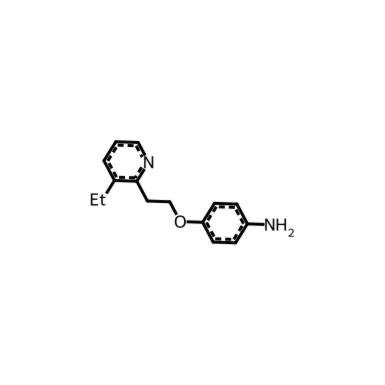 CCc1cccnc1CCOc1ccc(N)cc1